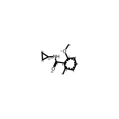 COc1cccc(C)c1C(=O)NC1CC1